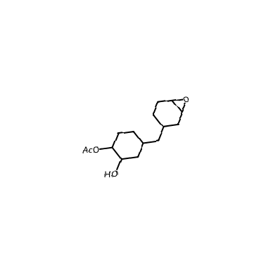 CC(=O)OC1CCC(CC2CCC3OC3C2)CC1O